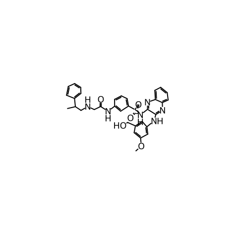 COc1cc(CO)cc(Nc2nc3ccccc3nc2NS(=O)(=O)c2cccc(NC(=O)CNCC(C)c3ccccc3)c2)c1